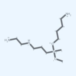 CO[Si](C)(CCCNCCN)OCCCCN